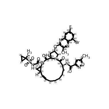 Cc1cc(C(=O)N[C@H]2CCCCCC=C[C@@H]3C[C@@]3(C(=O)NS(=O)(=O)C3(C)CC3)NC(=O)[C@@H]3C[C@@H](Oc4nc5cc(F)cc(Br)c5nc4C)CN3C2=O)no1